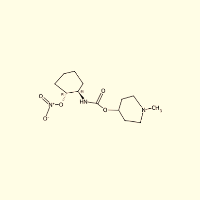 CN1CCC(OC(=O)N[C@@H]2CCCC[C@H]2O[N+](=O)[O-])CC1